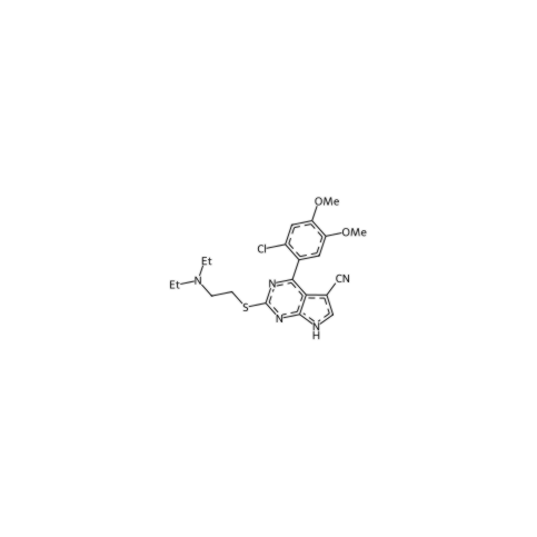 CCN(CC)CCSc1nc(-c2cc(OC)c(OC)cc2Cl)c2c(C#N)c[nH]c2n1